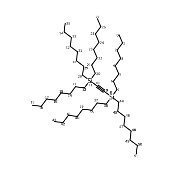 CCCCCCCC[Si](C#C[Si](CCCCCCCC)(CCCCCCCC)CCCCCCCC)(CCCCCCCC)CCCCCCCC